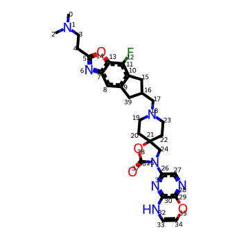 CN(C)CCc1nc2cc3c(c(F)c2o1)CC(CN1CCC2(CC1)CN(c1cnc4c(n1)NC=CO4)C(=O)O2)C3